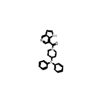 O=C(c1cncc2cc[nH]c12)N1CCC(N(c2ccccc2)c2ccccc2)CC1